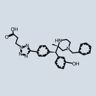 C[C@]1([C@H](c2ccc(-c3nnn(CCC(=O)O)n3)cc2)c2cccc(O)c2)CN(Cc2ccccc2)CCN1